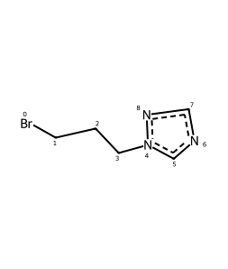 BrCCCn1cncn1